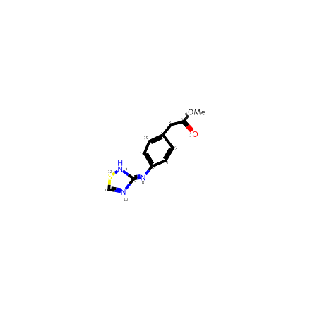 COC(=O)Cc1ccc(N=c2ncs[nH]2)cc1